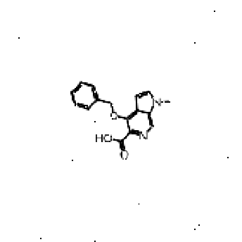 Cn1ccc2c(OCc3ccccc3)c(C(=O)O)ncc21